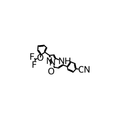 N#Cc1ccc(-c2cc(=O)n3nc(-c4ccccc4OC(F)F)cc3[nH]2)cc1